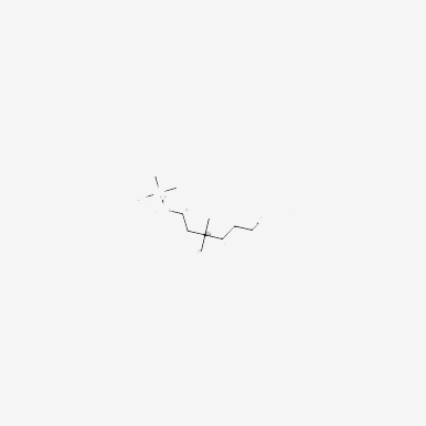 CCOC(=O)CCCC(C)(C)CCO[Si](C)(C)C(C)(C)C